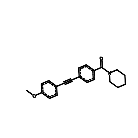 COc1ccc(C#Cc2ccc(C(=O)N3CCCCC3)cc2)cc1